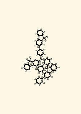 CC1(C)c2ccccc2-c2ccc(-c3ccc(N(c4ccc5c(c4)C(C)(C)c4ccccc4-5)c4cccc5c4-c4ccccc4C54c5ccccc5-c5ccc(-c6ccccc6)cc54)cc3)cc21